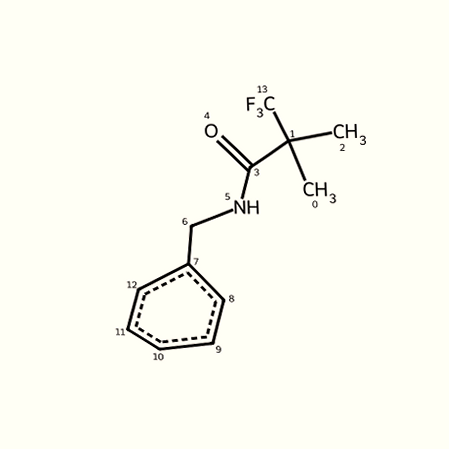 CC(C)(C(=O)NCc1ccccc1)C(F)(F)F